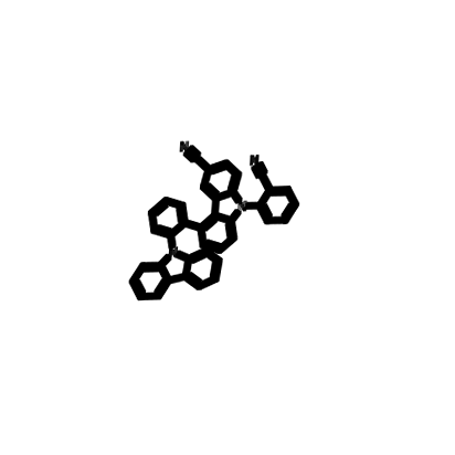 N#Cc1ccc2c(c1)c1c(-c3ccccc3-n3c4ccccc4c4ccccc43)cccc1n2-c1ccccc1C#N